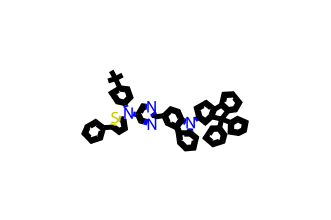 CC(C)(C)c1ccc(N(c2cnc(-c3ccc4c(c3)c3ccccc3n4-c3ccc4c(c3)C(c3ccccc3)(c3ccccc3)c3ccccc3-4)nc2)c2ccc(-c3ccccc3)s2)cc1